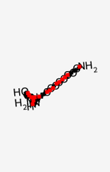 NCCOCCOCCOCCOCCOCCOCCOCCOCCCCCCn1nc(-c2cc3cc(O)ccc3[nH]2)c2c(N)ncnc21